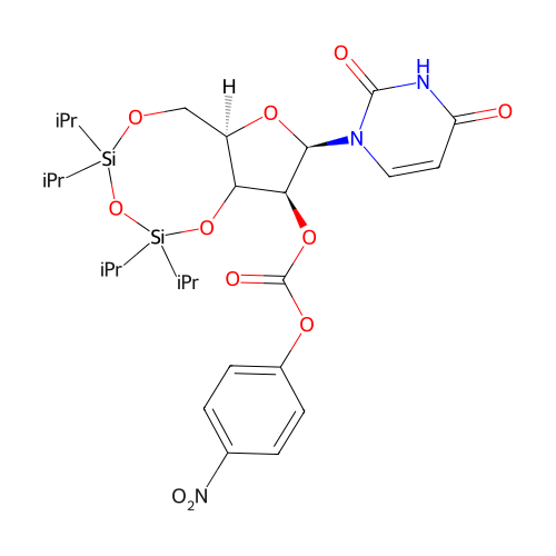 CC(C)[Si]1(C(C)C)OC[C@H]2O[C@@H](n3ccc(=O)[nH]c3=O)[C@@H](OC(=O)Oc3ccc([N+](=O)[O-])cc3)C2O[Si](C(C)C)(C(C)C)O1